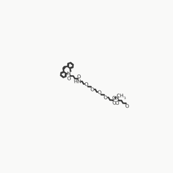 CN(OC(=O)CCOCCOCCOCCOCCNC(=O)CCC(=O)N1Cc2ccccc2C#Cc2ccccc21)C(=O)CCC=O